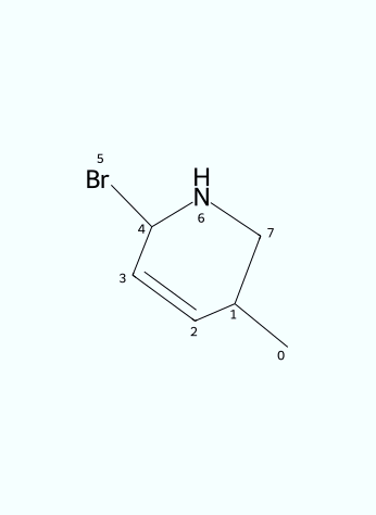 CC1C=CC(Br)NC1